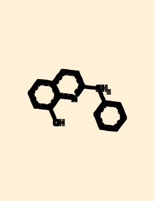 Oc1cccc2ccc([SiH2]c3ccccc3)nc12